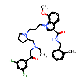 CCN(CC(=O)c1cc(Cl)cc(Cl)c1)CC1CCCN1CCCn1cc(C(=O)NCc2ccccc2C)c2cccc(OC)c21